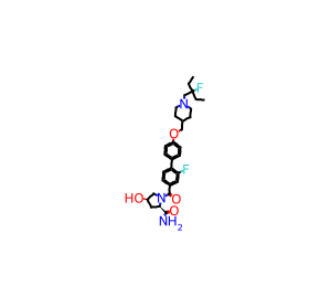 CCC(F)(CC)CN1CCC(COc2ccc(-c3ccc(C(=O)N4C[C@H](O)C[C@@H]4C(N)=O)cc3F)cc2)CC1